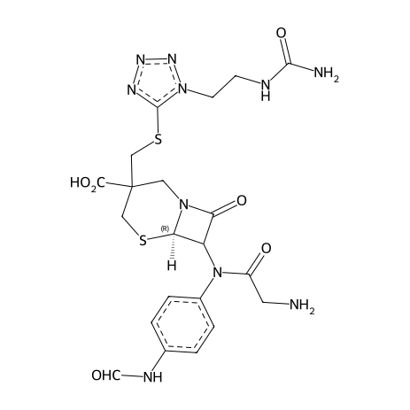 NCC(=O)N(c1ccc(NC=O)cc1)C1C(=O)N2CC(CSc3nnnn3CCNC(N)=O)(C(=O)O)CS[C@H]12